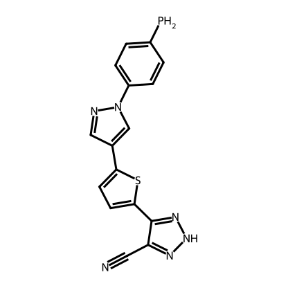 N#Cc1n[nH]nc1-c1ccc(-c2cnn(-c3ccc(P)cc3)c2)s1